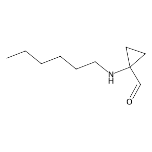 CCCCCCNC1(C=O)CC1